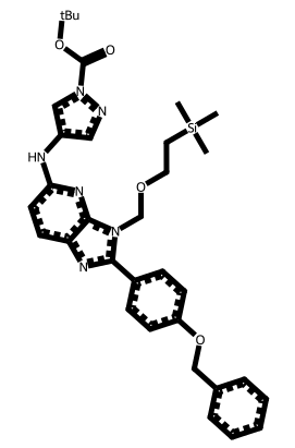 CC(C)(C)OC(=O)n1cc(Nc2ccc3nc(-c4ccc(OCc5ccccc5)cc4)n(COCC[Si](C)(C)C)c3n2)cn1